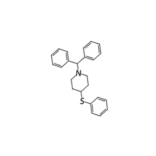 c1ccc(SC2CCN(C(c3ccccc3)c3ccccc3)CC2)cc1